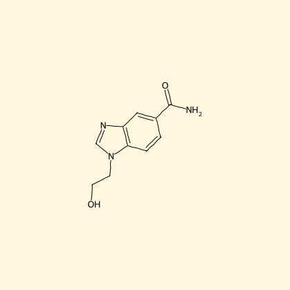 NC(=O)c1ccc2c(c1)ncn2CCO